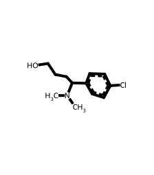 CN(C)C(CCCO)c1ccc(Cl)cc1